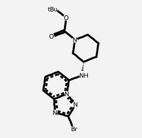 CC(C)(C)OC(=O)N1CCC[C@H](Nc2cccc3nc(Br)nn23)C1